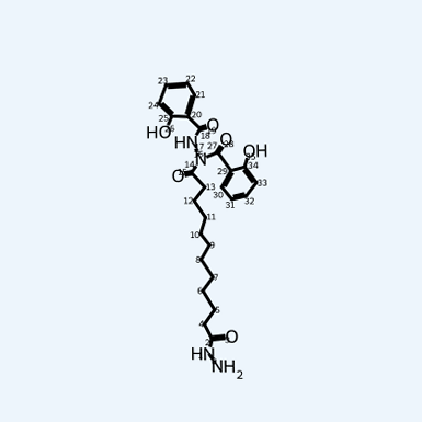 NNC(=O)CCCCCCCCCCC(=O)N(NC(=O)c1ccccc1O)C(=O)c1ccccc1O